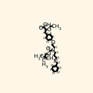 CCOC(Cc1ccc(OCCN(CCCSCc2ccccc2)C(=O)OCC(C)(C)C)cc1)C(=O)O